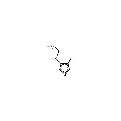 O=C(O)CSc1cscc1Br